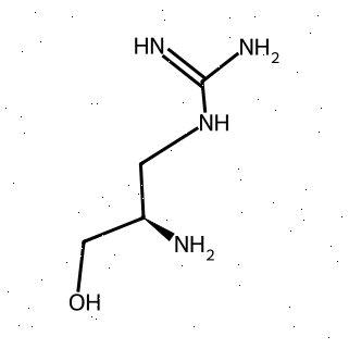 N=C(N)NC[C@@H](N)CO